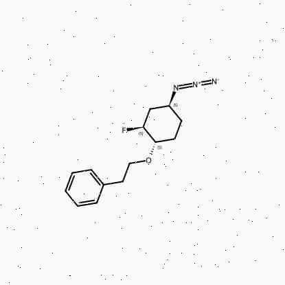 [N-]=[N+]=N[C@H]1CC[C@H](OCCc2ccccc2)[C@@H](F)C1